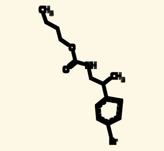 CCCCOC(=O)NCC(C)c1ccc(Br)cc1